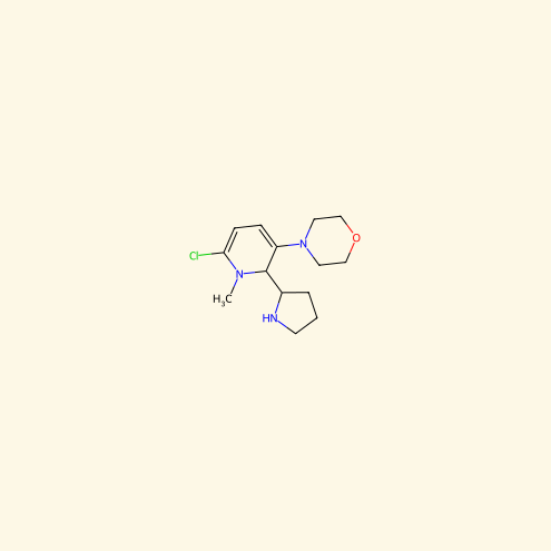 CN1C(Cl)=CC=C(N2CCOCC2)C1C1CCCN1